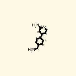 NCc1ccc(-c2ccnc(N)c2)cc1